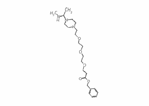 CNC(C)N1CCN(CCOCCOCCOCCC(=O)OCc2ccccc2)CC1